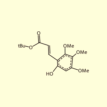 COc1cc(O)c(C=CC(=O)OC(C)(C)C)c(OC)c1OC